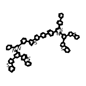 c1ccc(-c2ccc(-c3cc(-c4ccc(-c5ccc(-c6ccc7c(c6)sc6ccc(-c8cccc(-c9cc(-c%10ccccc%10)nc(-c%10cc(-c%11ccc%12sc%13ccccc%13c%12c%11)cc(-c%11ccc%12sc%13ccccc%13c%12c%11)c%10)n9)c8)cc67)cc5)cc4)nc(-c4cc(-c5ccc6sc7ccccc7c6c5)cc(-c5ccc6sc7ccccc7c6c5)c4)n3)cc2)cc1